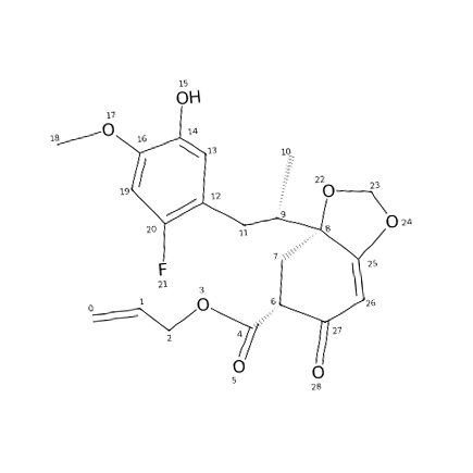 C=CCOC(=O)[C@@H]1C[C@]2([C@@H](C)Cc3cc(O)c(OC)cc3F)OCOC2=CC1=O